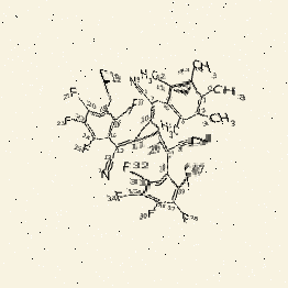 Cc1c(C)c(C)c(/C(C#N)=C2/C(=C(C#N)c3c(F)c(F)c(F)c(F)c3F)/C2=C(/C#N)c2c(F)c(F)c(F)c(F)c2F)c(C)c1C